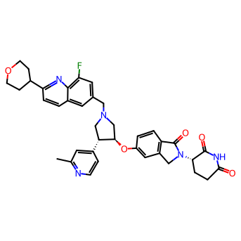 Cc1cc([C@@H]2CN(Cc3cc(F)c4nc(C5CCOCC5)ccc4c3)C[C@H]2Oc2ccc3c(c2)CN([C@H]2CCC(=O)NC2=O)C3=O)ccn1